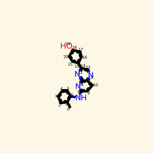 Cc1ccccc1Nc1ccc2ncc(-c3ccc(O)cc3)nc2n1